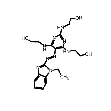 CCn1c(N=Nc2c(NCCO)nc(NCCO)nc2NCCO)nc2ccccc21